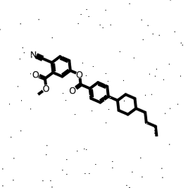 CCCCC1CCC(c2ccc(C(=O)Oc3ccc(C#N)c(C(=O)OC)c3)cc2)CC1